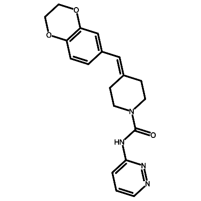 O=C(Nc1cccnn1)N1CCC(=Cc2ccc3c(c2)OCCO3)CC1